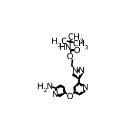 CC(C)(C)NC(=O)OCCn1cc(-c2cc(Oc3ccc(N)nc3)ccn2)cn1